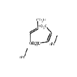 CCCC.CCCC.O=C(O)/C=C/C(=O)O.O=C(O)/C=C\C(=O)O